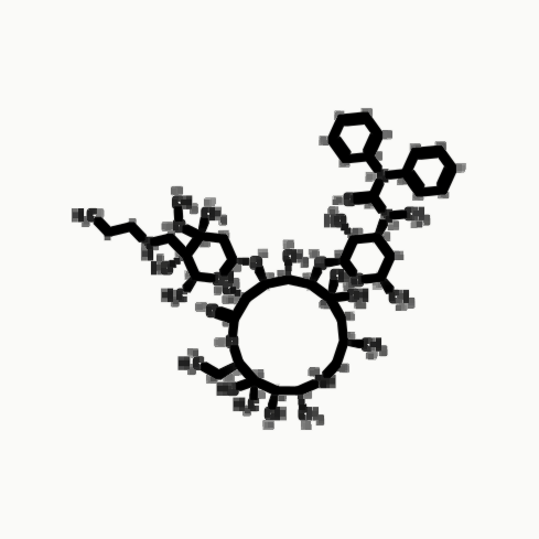 CCCNC[C@]1(O)[C@H](C)O[C@@H](O[C@H]2[C@H](C)[C@@H](O[C@@H]3O[C@H](C)C[C@H](N(C)C(=O)N(c4ccccc4)c4ccccc4)[C@H]3O)[C@](C)(O)C[C@@H](C)CN[C@H](C)[C@@H](O)[C@](C)(O)[C@@H](CC)OC(=O)[C@@H]2C)C[C@@]1(C)OC